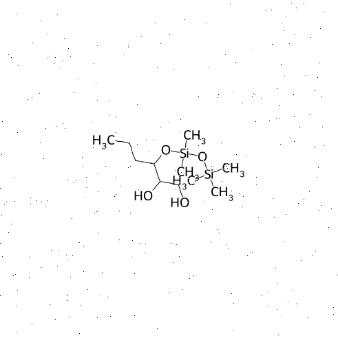 CCCC(O[Si](C)(C)O[Si](C)(C)C)C(O)CO